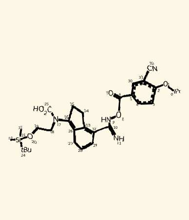 CC(C)Oc1ccc(C(=O)ONC(=N)C2=C3CCC(N(CCO[Si](C)(C)C(C)(C)C)C(=O)O)=C3CC=C2)cc1C#N